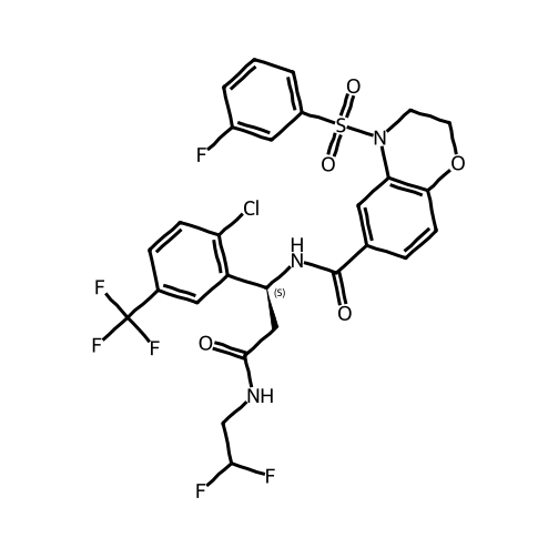 O=C(C[C@H](NC(=O)c1ccc2c(c1)N(S(=O)(=O)c1cccc(F)c1)CCO2)c1cc(C(F)(F)F)ccc1Cl)NCC(F)F